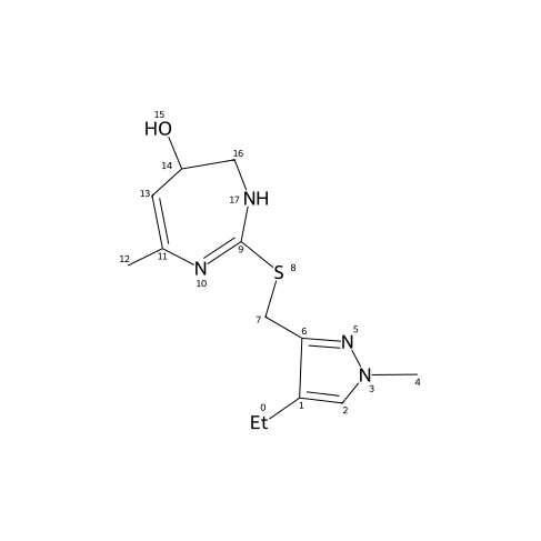 CCc1cn(C)nc1CSC1=NC(C)=CC(O)CN1